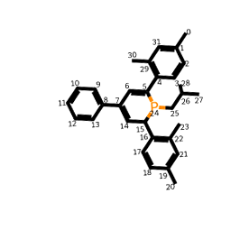 Cc1ccc(C2=CC(c3ccccc3)=CC(c3ccc(C)cc3C)P2CC(C)C)c(C)c1